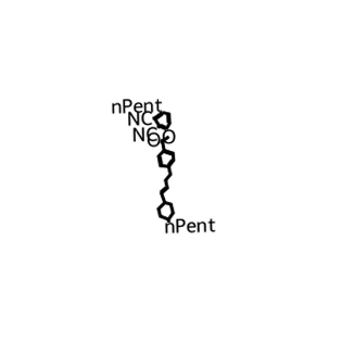 CCCCCc1ccc(OC(=O)c2ccc(CCC=CC3CCC(CCCCC)CC3)cc2)c(C#N)c1C#N